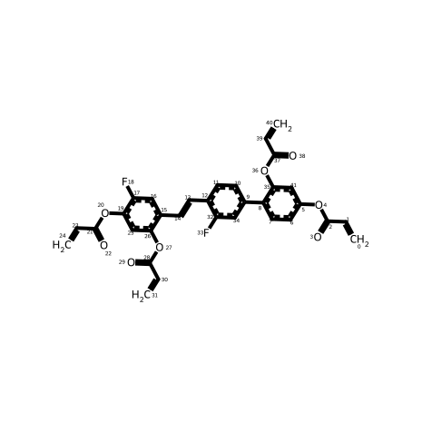 C=CC(=O)Oc1ccc(-c2ccc(/C=C/c3cc(F)c(OC(=O)C=C)cc3OC(=O)C=C)c(F)c2)c(OC(=O)C=C)c1